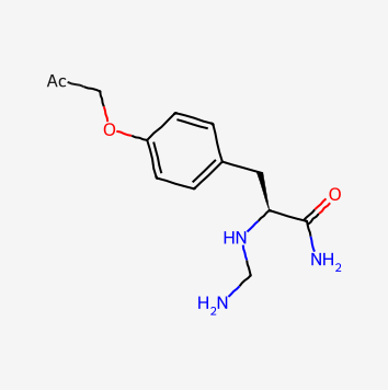 CC(=O)COc1ccc(C[C@H](NCN)C(N)=O)cc1